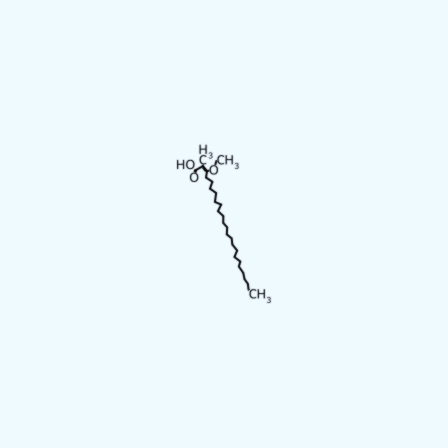 CCCCCCCCCCCCCCCCCCCCCCC(OCC)=C(C)C(=O)O